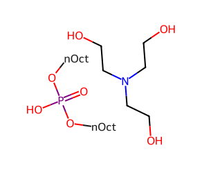 CCCCCCCCOP(=O)(O)OCCCCCCCC.OCCN(CCO)CCO